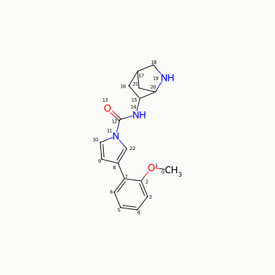 COc1ccccc1-c1ccn(C(=O)NC2CC3CNC2C3)c1